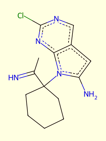 CC(=N)C1(n2c(N)cc3cnc(Cl)nc32)CCCCC1